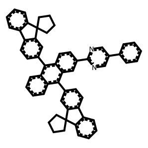 c1ccc(-c2cnc(-c3ccc4c(-c5ccc6c(c5)C5(CCCC5)c5ccccc5-6)c5ccccc5c(-c5ccc6c(c5)C5(CCCC5)c5ccccc5-6)c4c3)nc2)cc1